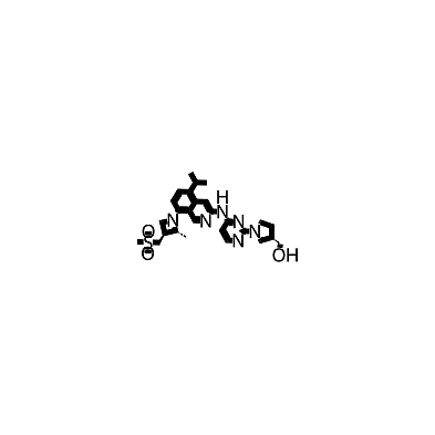 CC(C)c1ccc(N2C[C@H](CS(C)(=O)=O)[C@H]2C)c2cnc(Nc3ccnc(N4CC[C@H](CO)C4)n3)cc12